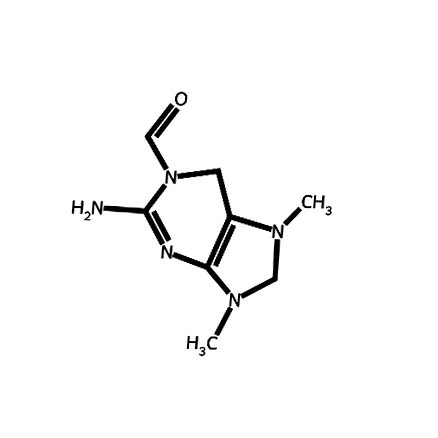 CN1CN(C)C2=C1CN(C=O)C(N)=N2